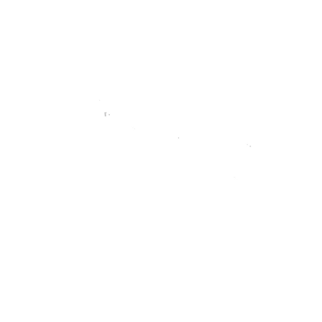 CCC1=C(OCc2ccccc2)C(=O)C(CCOC(=O)CCC(=O)CNC(=O)OCc2ccccc2)C=N1